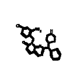 O=c1ccc2cnc(N(c3ccccc3)C3CCNCC3)nc2n1Cc1ccc(Cl)cc1[N+](=O)[O-]